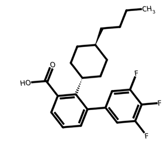 CCCC[C@H]1CC[C@H](c2c(C(=O)O)cccc2-c2cc(F)c(F)c(F)c2)CC1